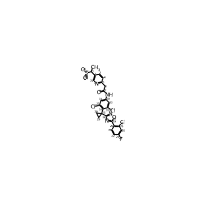 CC(c1ccc(CC(=O)Nc2cc(Cl)c(C3(c4noc(-c5ccc(F)cc5Cl)n4)CC3)c(Cl)c2)nc1)[SH](=O)=O